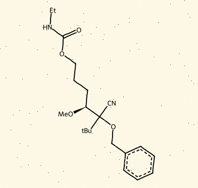 CCNC(=O)OCCC[C@H](OC)C(C#N)(OCc1ccccc1)C(C)(C)C